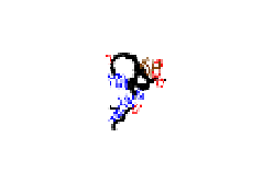 CCn1nc(C)cc1C(=O)NC1=Nc2cc(C(=O)OC)c/c3c2=C1NCCC(=O)CCC/C=3S